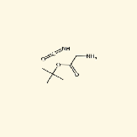 CC(C)(C)OC(=O)CN.N=C=O